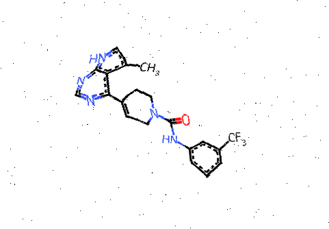 Cc1c[nH]c2ncnc(C3=CCN(C(=O)Nc4cccc(C(F)(F)F)c4)CC3)c12